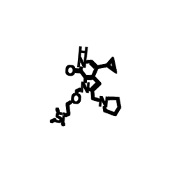 C[Si](C)(C)CCOCn1c(CN2CCCCC2)cc2c(C3CC3)c[nH]c(=O)c21